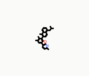 Cc1ccc2c(n1)oc1c(-c3ccc4c(CC(C)C)cccc4c3C)c(C)c(C)cc12